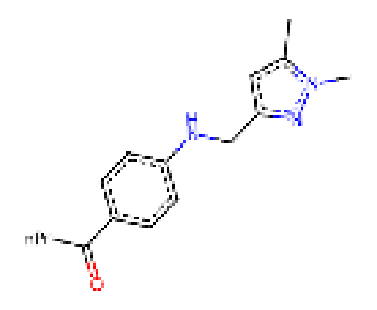 CCCC(=O)c1ccc(NCc2cc(C)n(C)n2)cc1